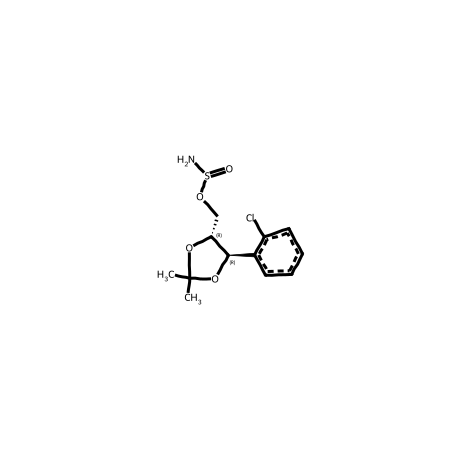 CC1(C)O[C@H](c2ccccc2Cl)[C@@H](COS(N)=O)O1